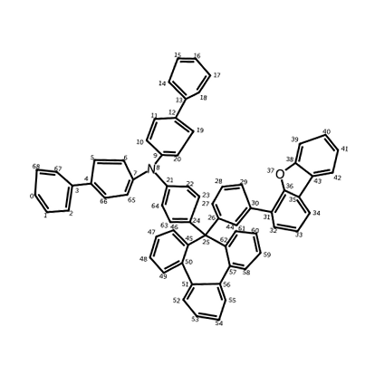 c1ccc(-c2ccc(N(c3ccc(-c4ccccc4)cc3)c3ccc(C4(c5cccc(-c6cccc7c6oc6ccccc67)c5)c5ccccc5-c5ccccc5-c5ccccc54)cc3)cc2)cc1